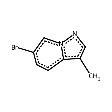 Cc1cnn2cc(Br)ccc12